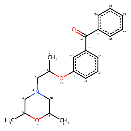 CC(CN1CC(C)OC(C)C1)Oc1cccc(C(=O)c2ccccc2)c1